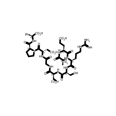 CC(C)[C@H](NC(=O)[C@@H]1CCCN1C(=O)[C@H](CC(=O)O)NC(=O)CNC(=O)[C@H](CC(=O)O)NC(=O)[C@H](CO)NC(=O)[C@H](CCCNC(=N)N)NC(=O)[C@H](CCC(=O)O)NC(=O)[C@H](C)N)C(=O)O